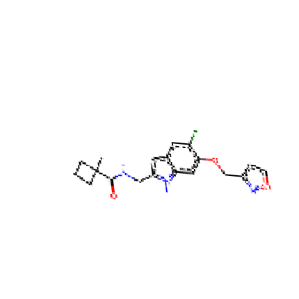 CC1(C(=O)NCc2cc3cc(F)c(OCc4ccon4)cc3[nH]2)CCC1